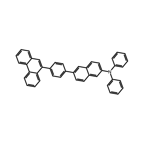 c1ccc(N(c2ccccc2)c2ccc3cc(-c4ccc(-c5cc6ccccc6c6ccccc56)cc4)ccc3c2)cc1